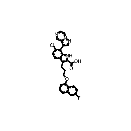 O=C(O)c1[nH]c2c(-c3cnn4ccncc34)c(Cl)ccc2c1CCCOc1cccc2cc(F)ccc12